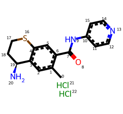 Cc1cc2c(cc1C(=O)Nc1ccncc1)SCC[C@@H]2N.Cl.Cl